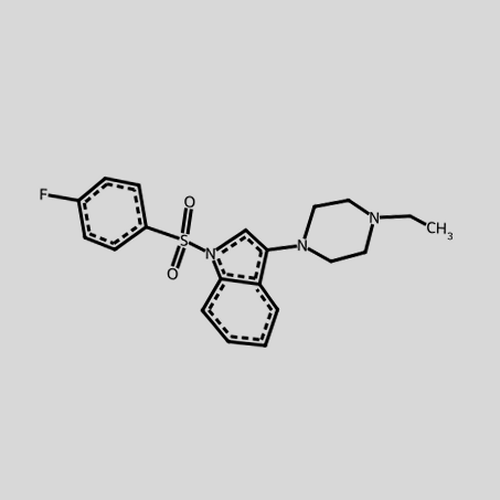 CCN1CCN(c2cn(S(=O)(=O)c3ccc(F)cc3)c3ccccc23)CC1